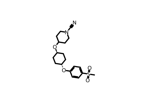 CS(=O)(=O)c1ccc(O[C@H]2CC[C@H](OC3CCN(C#N)CC3)CC2)cc1